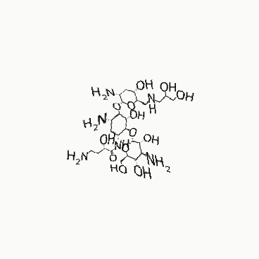 NCC[C@H](O)C(=O)N[C@@H]1C[C@H](N)C(O[C@H]2O[C@H](CNCC(O)CO)[C@@H](O)C[C@H]2N)[C@H](O)[C@H]1O[C@H]1O[C@H](CO)[C@@H](O)[C@H](N)[C@H]1O